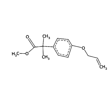 C=CCOc1ccc(C(C)(C)C(=O)OC)cc1